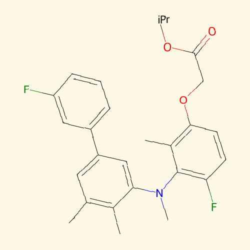 Cc1cc(-c2cccc(F)c2)cc(N(C)c2c(F)ccc(OCC(=O)OC(C)C)c2C)c1C